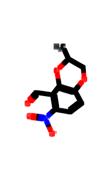 CC1COc2ccc([N+](=O)[O-])c(C=O)c2O1